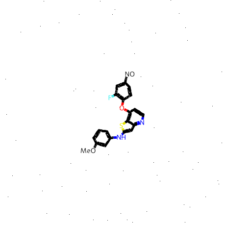 COc1cccc(Nc2cc3nccc(Oc4ccc(N=O)cc4F)c3s2)c1